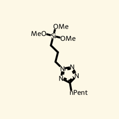 CCCCCc1nnn(CCC[Si](OC)(OC)OC)n1